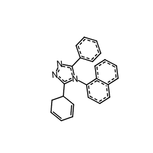 C1=CCC(c2nnc(-c3ccccc3)n2-c2cccc3ccccc23)C=C1